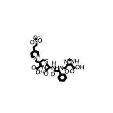 O=C(O)C1=C(C[n+]2ccc(CCS(=O)(=O)[O-])cc2)CSC2C(NC(=O)C(NC(=O)c3nc[nH]c3C(=O)O)c3ccccc3)C(=O)N12